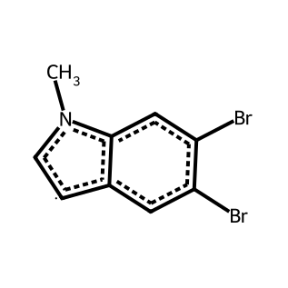 Cn1c[c]c2cc(Br)c(Br)cc21